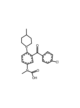 CC1CCN(c2ccc(N(C)C(=O)O)cc2C(=O)c2ccc(Cl)cc2)CC1